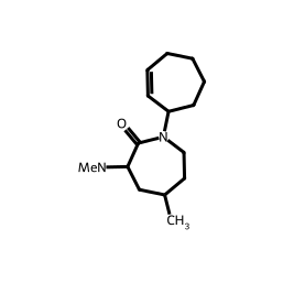 CNC1CC(C)CCN(C2C=CCCCC2)C1=O